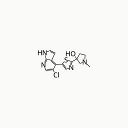 CN1CCC(O)(c2ncc(-c3c(Cl)cnc4[nH]ccc34)s2)C1